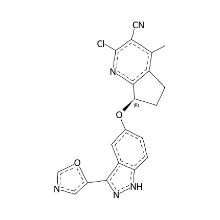 Cc1c(C#N)c(Cl)nc2c1CC[C@H]2Oc1ccc2[nH]nc(-c3cnco3)c2c1